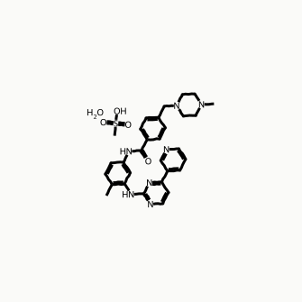 CS(=O)(=O)O.Cc1ccc(NC(=O)c2ccc(CN3CCN(C)CC3)cc2)cc1Nc1nccc(-c2cccnc2)n1.O